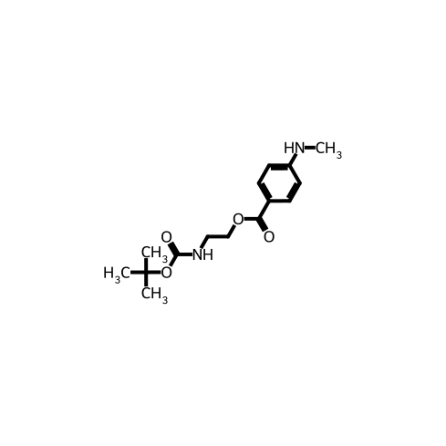 CNc1ccc(C(=O)OCCNC(=O)OC(C)(C)C)cc1